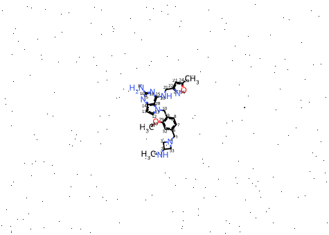 CNC1CN(Cc2ccc(Cn3ccc4nc(N)nc(NCc5cc(C)on5)c43)c(OC)c2)C1